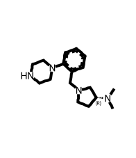 CN(C)[C@@H]1CCN(Cc2ccccc2N2CCNCC2)C1